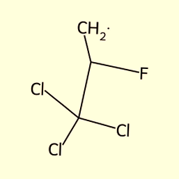 [CH2]C(F)C(Cl)(Cl)Cl